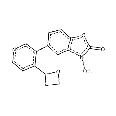 Cn1c(=O)oc2ccc(-c3cnccc3C3CCO3)cc21